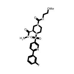 COCCOC(=O)N1CCN(S(=O)(=O)c2ccc(-c3cccc(F)c3)nc2)[C@@H](C(=O)ON)C1